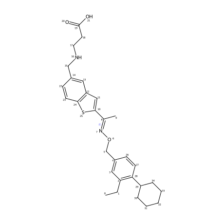 CCc1cc(CO/N=C(\C)c2cc3cc(CNCCC(=O)O)ccc3s2)ccc1C1CCCCC1